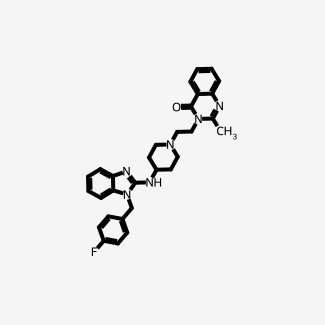 Cc1nc2ccccc2c(=O)n1CCN1CCC(Nc2nc3ccccc3n2Cc2ccc(F)cc2)CC1